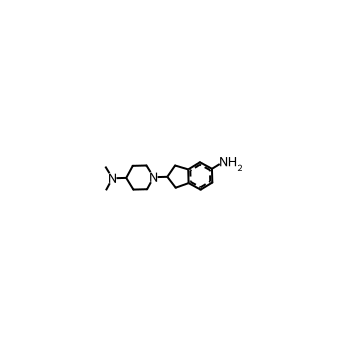 CN(C)C1CCN(C2Cc3ccc(N)cc3C2)CC1